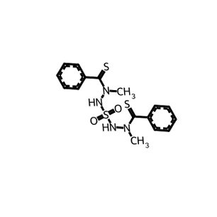 CN(NS(=O)(=O)NN(C)C(=S)c1ccccc1)C(=S)c1ccccc1